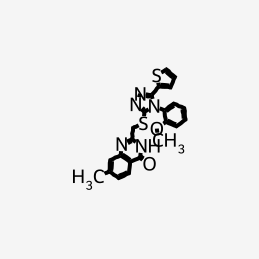 COc1ccccc1-n1c(SCc2nc3cc(C)ccc3c(=O)[nH]2)nnc1-c1cccs1